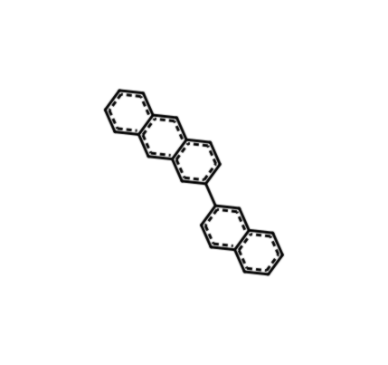 c1ccc2cc(-c3ccc4cc5ccccc5cc4c3)ccc2c1